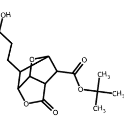 CC(C)(C)OC(=O)C1C2OC3C(OC(=O)C31)C2CCCO